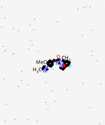 COc1cc(/C=C2\N=C(N3CCCC3)N([C@@H](C)c3ccc(F)cc3)C2=O)ccc1-n1cnc(C)c1